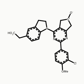 COc1ccc(-c2nc3c(c(N4CCc5cc(CC(=O)O)ccc54)n2)C[S+]([O-])C3)cc1Cl